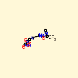 CC(C)(C(=O)Nc1ccc(C(F)(F)F)cc1N1CC2CCCC2C1)n1cc(C#CC2CN(c3ccc4c(c3)C(=O)N(C3CCC(=O)NC3=O)C4=O)C2)cn1